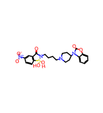 O=C1c2cc([N+](=O)[O-])ccc2S(O)(O)N1CCCCN1CCC(n2c(=O)oc3ccccc32)CC1